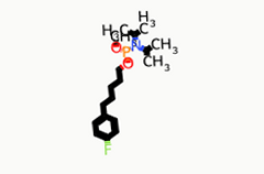 COP(OCCCCCc1ccc(F)cc1)N(C(C)C)C(C)C